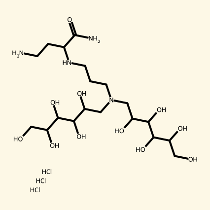 Cl.Cl.Cl.NCCC(NCCCN(CC(O)C(O)C(O)C(O)CO)CC(O)C(O)C(O)C(O)CO)C(N)=O